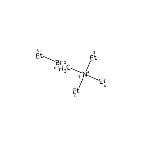 CC[N+](C)(CC)CC.[CH2]CBr